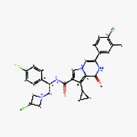 Cc1cc(-c2cn3cc(C(=O)N[C@H](CN4CC(F)C4)c4ccc(F)cc4)c(C4CC4)c3c(=O)[nH]2)ccc1Cl